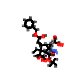 CCC1(CC)C(=CC(=O)OCc2ccccc2)C2[C@H](C(=O)O)[C@]2(N)[C@@]1(C(=O)O)C(=O)OC(C)(C)C